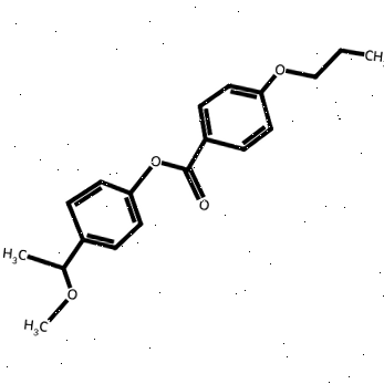 CCCOc1ccc(C(=O)Oc2ccc(C(C)OC)cc2)cc1